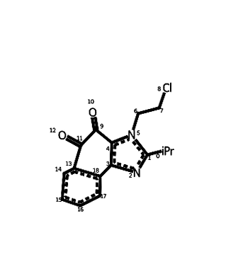 CC(C)c1nc2c(n1CCCl)C(=O)C(=O)c1ccccc1-2